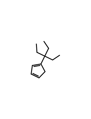 CCC(CC)(CC)C1=CC=CC1